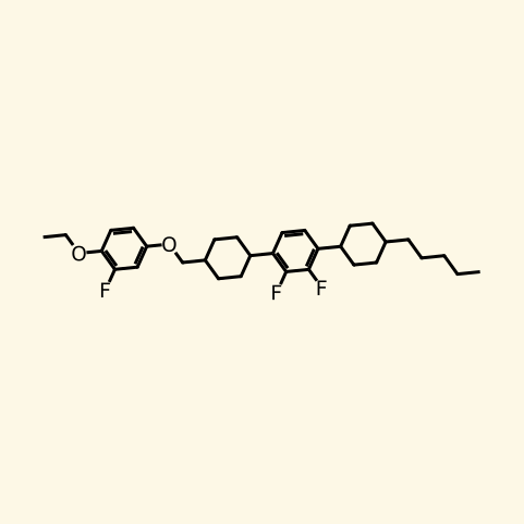 CCCCCC1CCC(c2ccc(C3CCC(COc4ccc(OCC)c(F)c4)CC3)c(F)c2F)CC1